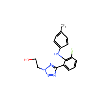 OCCn1nnc(-c2cccc(F)c2Nc2ccc(C(F)(F)F)cc2)n1